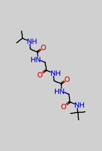 CC(C)NCC(=O)NCC(=O)NCC(=O)NCC(=O)NC(C)(C)C